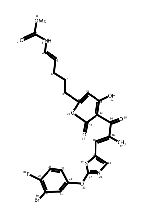 COC(=O)N/C=C/CCCc1cc(O)c(C(=O)C(C)=Cc2cnc(Oc3ccc(F)c(Br)c3)s2)c(=O)o1